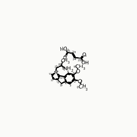 COc1cc2c(cc1OC)-c1c(ccn1CC(C)N)C2.O=C(O)/C=C/C(=O)O